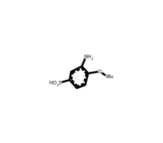 CC(C)(C)Oc1ccc(S(=O)(=O)O)cc1N